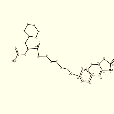 O=C(O)CN(CC1CCCCC1)C(=O)CCCCCCOc1ccc2c(c1)CN1CC(=O)NC1=N2